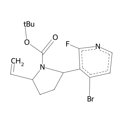 C=CC1CCC(c2c(Br)ccnc2F)N1C(=O)OC(C)(C)C